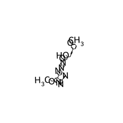 CCOc1cc(-c2ccc(N3CCN(C(=O)CC(O)CC#Cc4cccc(OC)c4)CC3)nc2)c2c(C#N)cnn2c1